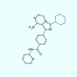 Nc1nccn2c(C3CCCCC3)nc(-c3ccc(C(=O)Nc4ccccn4)cc3)c12